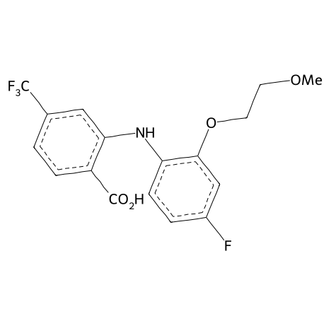 COCCOc1cc(F)ccc1Nc1cc(C(F)(F)F)ccc1C(=O)O